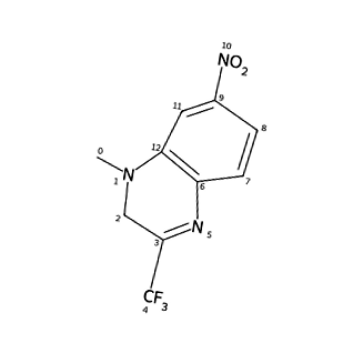 CN1CC(C(F)(F)F)=Nc2ccc([N+](=O)[O-])cc21